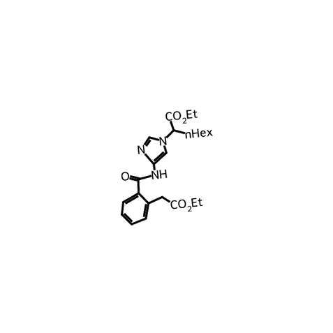 CCCCCCC(C(=O)OCC)n1cnc(NC(=O)c2ccccc2CC(=O)OCC)c1